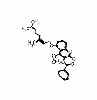 COc1c(OC(=O)c2ccccc2)c(=O)oc2cccc(OCC=C(C)CCC=C(C)C)c12